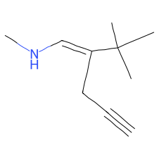 C#CC/C(=C\NC)C(C)(C)C